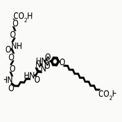 O=C(O)CCCCCCCCCCCCCCOc1ccc(S(=O)(=O)Nc2ncc(C(=O)NCCCCCC3OC3NCCOCCOCC(=O)NCCOCCOCC(=O)O)cn2)cc1